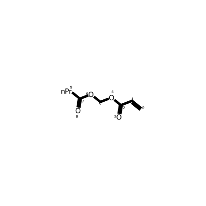 C=CC(=O)OCOC(=O)CCC